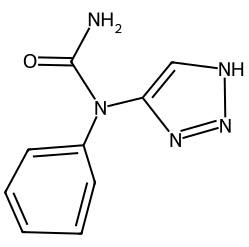 NC(=O)N(c1ccccc1)c1c[nH]nn1